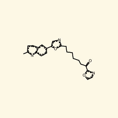 Cc1ccc2cc(-c3cnc(CCCCCCC(=O)c4ncco4)o3)ccc2n1